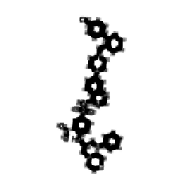 O=[N+]([O-])c1cc(S(=O)(=O)Nc2ncnc3cc(N4CCN(CC5=C(c6ccc(Cl)cc6)CCCC5)CC4)ccc23)ccc1N[C@@H](CSc1ccccc1)CN1CCOCC1